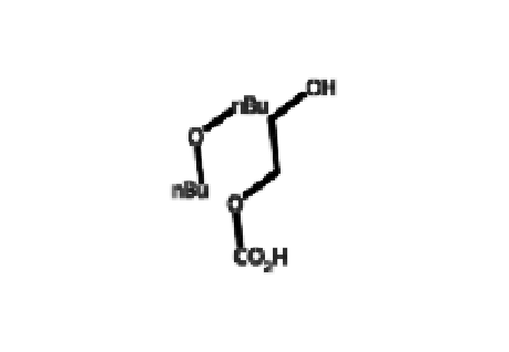 CCCCOCCCC.O=C(O)OCCO